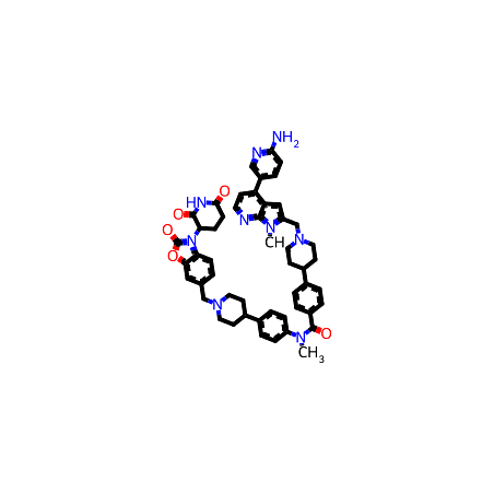 CN(C(=O)c1ccc(C2CCN(Cc3cc4c(-c5ccc(N)nc5)ccnc4n3C)CC2)cc1)c1ccc(C2CCN(Cc3ccc4c(c3)oc(=O)n4C3CCC(=O)NC3=O)CC2)cc1